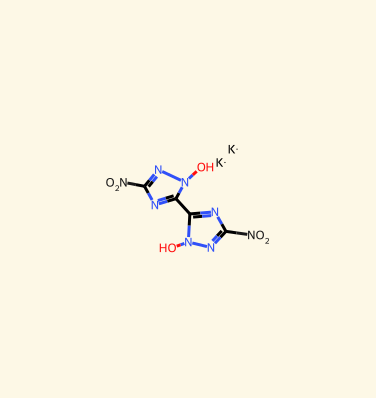 O=[N+]([O-])c1nc(-c2nc([N+](=O)[O-])nn2O)n(O)n1.[K].[K]